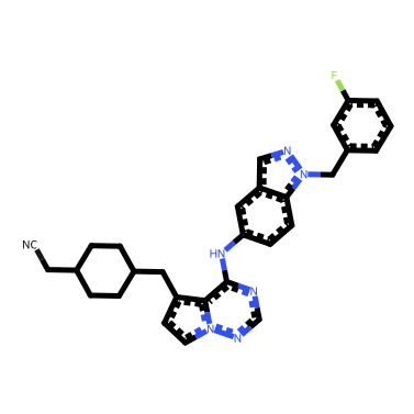 N#CCC1CCC(Cc2ccn3ncnc(Nc4ccc5c(cnn5Cc5cccc(F)c5)c4)c23)CC1